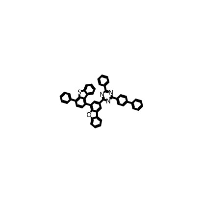 c1ccc(-c2ccc(-c3nc(-c4ccccc4)nc(-c4cc(-c5ccc(-c6ccccc6)c6sc7ccccc7c56)c5oc6ccccc6c5c4)n3)cc2)cc1